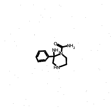 NC(=O)N1CCNCC1(N)c1ccccc1